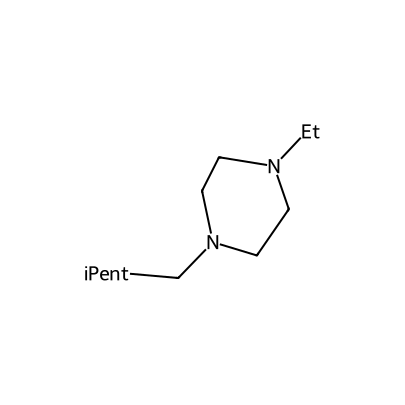 CCCC(C)CN1CCN(CC)CC1